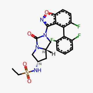 CCS(=O)(=O)N[C@H]1C[C@H]2CN(c3noc4ccc(F)c(-c5c(F)cccc5F)c34)C(=O)N2C1